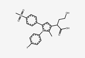 Cc1c(C(CCO)C(=O)O)cc(-c2ccc(S(C)(=O)=O)cc2)n1-c1ccc(F)cc1